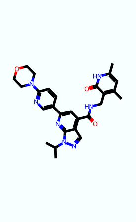 Cc1cc(C)c(CNC(=O)c2cc(-c3ccc(N4CCOCC4)nc3)nc3c2cnn3C(C)C)c(=O)[nH]1